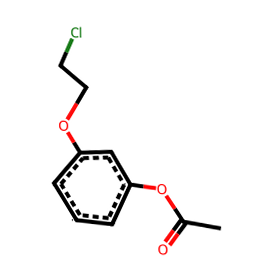 CC(=O)Oc1c[c]cc(OCCCl)c1